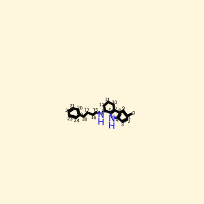 Cc1ccc2[nH]c3c(c2c1)CCCC3NCCCCc1ccccc1